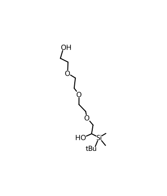 CC(C)(C)[Si](C)(C)C(O)COCCOCCOCCO